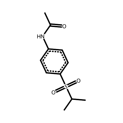 CC(=O)Nc1ccc(S(=O)(=O)C(C)C)cc1